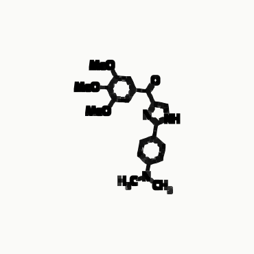 COc1cc(C(=O)c2c[nH]c(-c3ccc(N(C)C)cc3)n2)cc(OC)c1OC